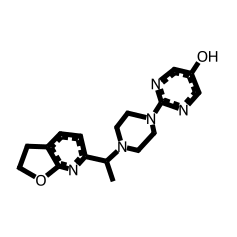 CC(c1ccc2c(n1)OCC2)N1CCN(c2ncc(O)cn2)CC1